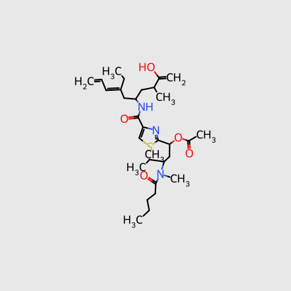 C=C/C=C(\CC)CC(CC(C)C(=C)O)NC(=O)c1csc(C(CC(C(C)C)N(C)C(=O)CCCC)OC(C)=O)n1